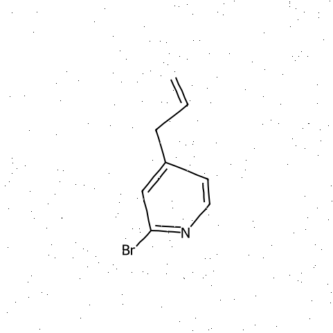 C=CCc1ccnc(Br)c1